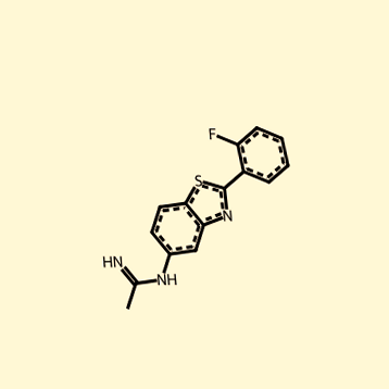 CC(=N)Nc1ccc2sc(-c3ccccc3F)nc2c1